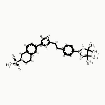 CC1(C)OB(c2ccc(CCc3nc(-c4ccc5c(c4)CCN(S(C)(=O)=O)C5)no3)cc2)OC1(C)C